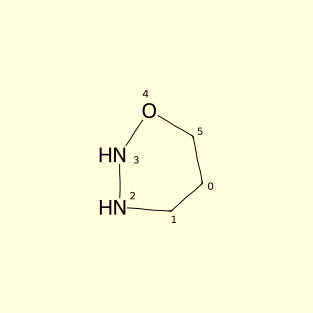 C1CNNOC1